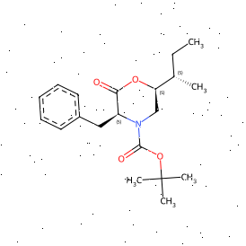 CC[C@H](C)[C@H]1CN(C(=O)OC(C)(C)C)[C@@H](Cc2ccccc2)C(=O)O1